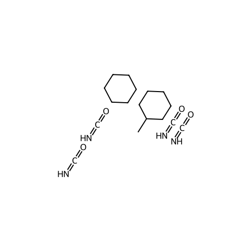 C1CCCCC1.CC1CCCCC1.N=C=O.N=C=O.N=C=O.N=C=O